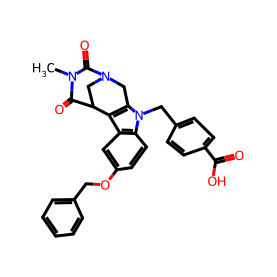 CN1C(=O)C2CN(Cc3c2c2cc(OCc4ccccc4)ccc2n3Cc2ccc(C(=O)O)cc2)C1=O